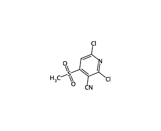 CS(=O)(=O)c1cc(Cl)nc(Cl)c1C#N